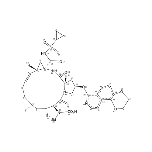 CC[C@@H]1C[C@H](C)CC/C=C\[C@@H]2C[C@@]2(C(=O)NS(=O)(=O)C2CC2)NC(=O)[C@@H]2C[C@@H](Oc3nccc4c5c(ccc34)OCCO5)CN2C(=O)[C@H]1N(C(=O)O)C(C)(C)C